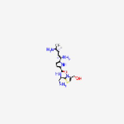 NCC(NC(=O)c1ccc(/C(N)=C/C=C(\N)C(F)(F)F)[nH]1)c1nc(CO)cs1